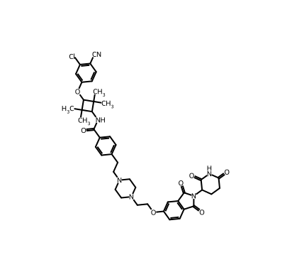 CC1(C)C(NC(=O)c2ccc(CCN3CCN(CCOc4ccc5c(c4)C(=O)N(C4CCC(=O)NC4=O)C5=O)CC3)cc2)C(C)(C)C1Oc1ccc(C#N)c(Cl)c1